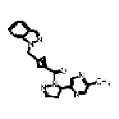 Cc1cnc(C2CC=NN2C(=O)C23CC(Cn4ncc5ccccc54)(C2)C3)cn1